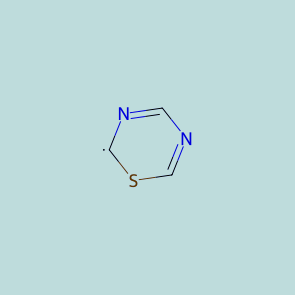 [CH]1N=CN=CS1